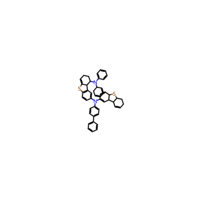 C1=CCC(N(c2ccccc2)C2CCC=C3Sc4ccc(N(C5=CC6C(C=C5)SC5CCC=CC56)c5ccc(-c6ccccc6)cc5)cc4C32)C=C1